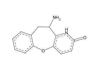 NC1Cc2ccccc2Oc2ccc(=O)[nH]c21